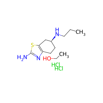 CCCN[C@H]1CCc2nc(N)sc2C1.CCO.Cl.Cl